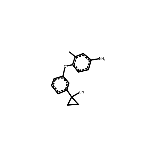 Cc1cc(N)ccc1Oc1cccc(C2(C#N)CC2)c1